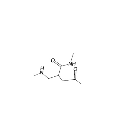 CNCC(CC(C)=O)C(=O)NC